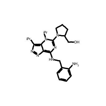 CC(C)c1nnc2c(NCc3ccccc3N)nc(N3CCCC3CO)n(C(C)C)c1-2